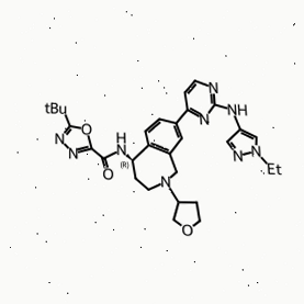 CCn1cc(Nc2nccc(-c3ccc4c(c3)CN(C3CCOC3)CC[C@H]4NC(=O)c3nnc(C(C)(C)C)o3)n2)cn1